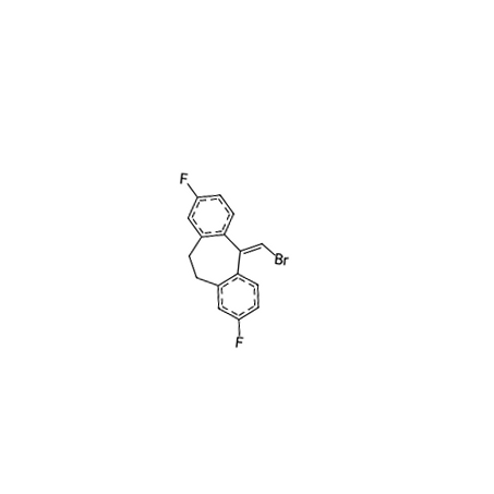 Fc1ccc2c(c1)CCc1cc(F)ccc1C2=CBr